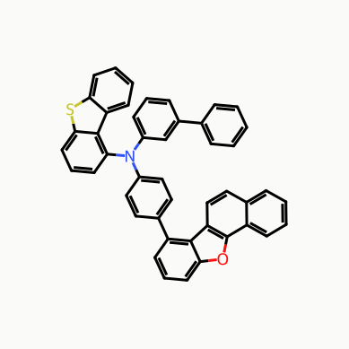 c1ccc(-c2cccc(N(c3ccc(-c4cccc5oc6c7ccccc7ccc6c45)cc3)c3cccc4sc5ccccc5c34)c2)cc1